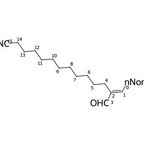 CCCCCCCCCC=C(C=O)CCCCCCCCCCCC#N